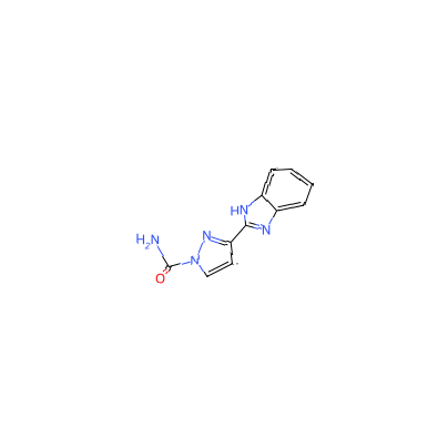 NC(=O)n1c[c]c(-c2nc3ccccc3[nH]2)n1